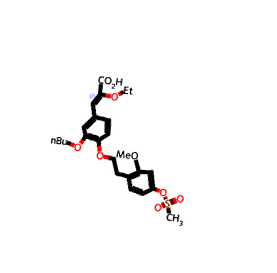 CCCCOc1cc(/C=C(\OCC)C(=O)O)ccc1OCCc1ccc(OS(C)(=O)=O)cc1OC